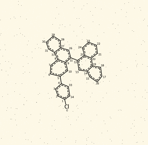 Clc1ccc(-c2ccc3c(c2)c(-c2cc4ccccc4c4ccccc24)cc2ccccc23)cc1